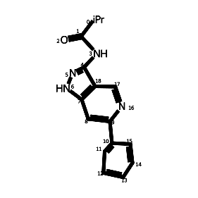 CC(C)C(=O)Nc1n[nH]c2cc(-c3ccccc3)ncc12